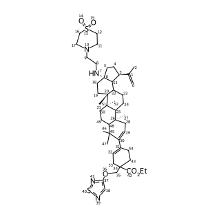 C=C(C)[C@@H]1CC[C@]2(NCCN3CCS(=O)(=O)CC3)CC[C@]3(C)C(CCC4[C@@]5(C)CC=C(C6=CCC(COc7cnsn7)(C(=O)OCC)CC6)C(C)(C)C5CC[C@]43C)C12